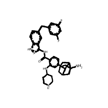 NC12CC3CC(C1)C(c1ccc(C(=O)Nc4n[nH]c5ccc(Cc6cc(F)cc(F)c6)cc45)c(NC4CCNCC4)c1)C2C3